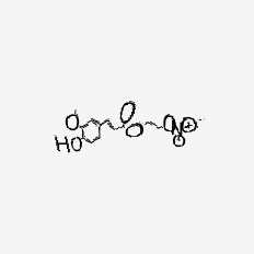 COc1cc(/C=C/C(=O)OCCO[N+](=O)[O-])ccc1O